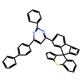 c1ccc(-c2ccc(-c3cc(-c4ccc5c(c4)C4(c6ccccc6Sc6ccccc64)c4ccccc4-5)nc(-c4ccccc4)n3)cc2)cc1